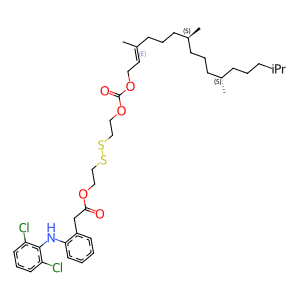 C/C(=C\COC(=O)OCCSSCCOC(=O)Cc1ccccc1Nc1c(Cl)cccc1Cl)CCC[C@@H](C)CCC[C@@H](C)CCCC(C)C